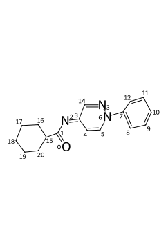 O=C(/N=c1\ccn(-c2ccccc2)nc1)C1CCCCC1